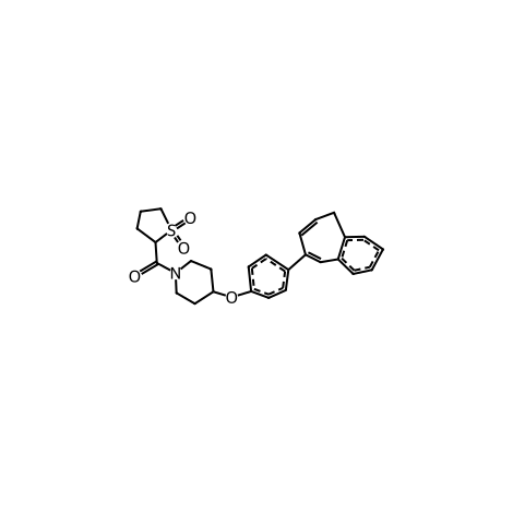 O=C(C1CCCS1(=O)=O)N1CCC(Oc2ccc(C3=Cc4ccccc4CC=C3)cc2)CC1